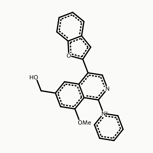 COc1cc(CO)cc2c(-c3cc4ccccc4o3)cnc(-[n+]3ccccc3)c12